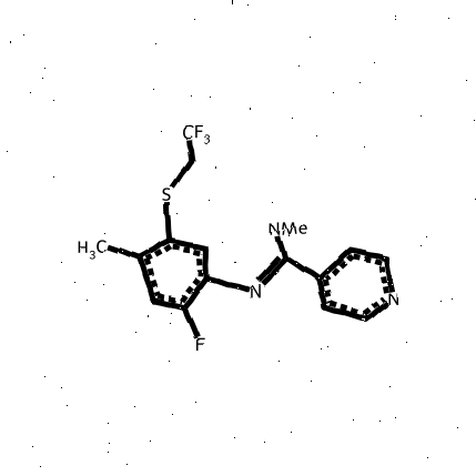 CN/C(=N\c1cc(SCC(F)(F)F)c(C)cc1F)c1ccncc1